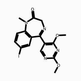 COc1ncc(C2=NCC(=O)N(C)c3ccc(I)cc32)c(OC)n1